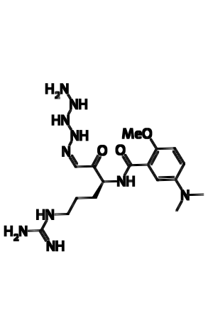 COc1ccc(N(C)C)cc1C(=O)N[C@@H](CCCNC(=N)N)C(=O)/C=N\NNNN